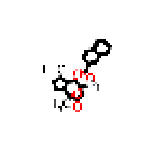 CC1CCC2C1C(OC(=O)c1ccc3ccccc3c1)C1(C(C)C)CC(=O)C2(C)O1